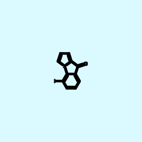 O=C1c2cccc(I)c2-n2cccc21